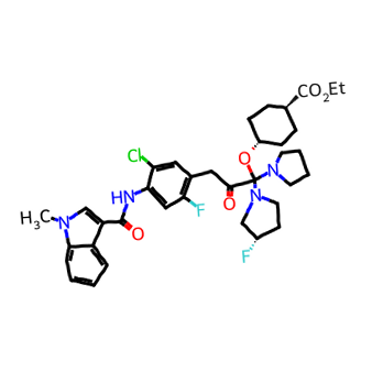 CCOC(=O)[C@H]1CC[C@H](OC(C(=O)Cc2cc(Cl)c(NC(=O)c3cn(C)c4ccccc34)cc2F)(N2CCCC2)N2CC[C@H](F)C2)CC1